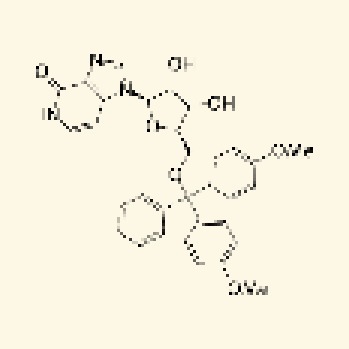 COc1ccc(C(OC[C@H]2O[C@@H](n3cnc4c(=O)[nH]ccc43)[C@H](O)[C@@H]2O)(c2ccccc2)c2ccc(OC)cc2)cc1